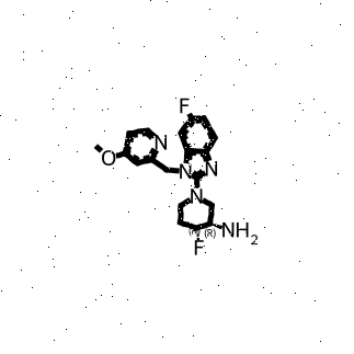 COc1ccnc(Cn2c(N3CC[C@@H](F)[C@H](N)C3)nc3ccc(F)cc32)c1